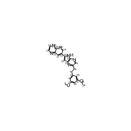 COc1cc(CCc2cnc3[nH]c(-c4cnc5nccnc5c4)cc3n2)cc(OC)c1